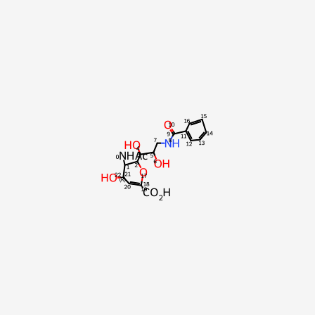 CC(=O)NC1C(C(O)C(O)CNC(=O)c2ccccc2)OC(C(=O)O)=C[C@H]1O